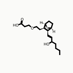 CCCCC(O)/C=C/[C@H]1[C@@H](CCOCCC(=O)O)[C@H]2CC[C@@H]1O2